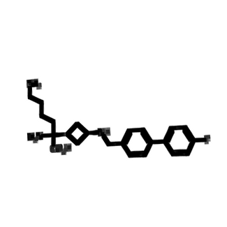 BCCCCC(N)(C(=O)O)[C@H]1C[C@@H](NCc2ccc(-c3ccc(F)cc3)cc2)C1